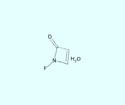 O.O=C1C=CN1F